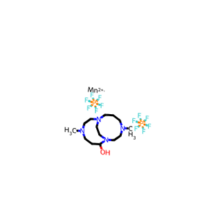 CN1CCC(O)N2CCN(C)CCCN(CC1)CC2.F[P-](F)(F)(F)(F)F.F[P-](F)(F)(F)(F)F.[Mn+2]